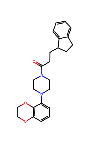 O=C(CCC1CCc2ccccc21)N1CCN(c2cccc3c2OCCO3)CC1